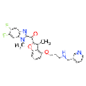 Cc1c(C(=O)c2nc3cc(F)c(F)cc3n2C)oc2cccc(OCCCNCc3cccnc3)c12